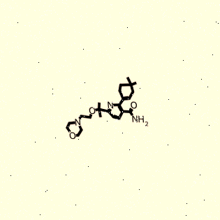 CC1(C)CC=C(c2nc(C(C)(C)OCCN3CCOCC3)ccc2C(N)=O)CC1